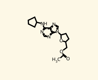 CC(=O)OCC1CCC(n2cnc3c(NC4CCCC4)ncnc32)O1